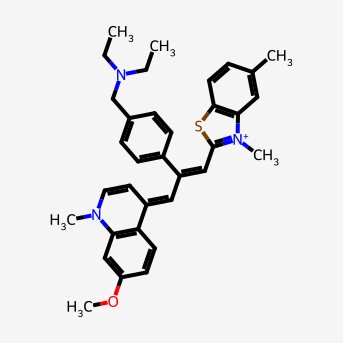 CCN(CC)Cc1ccc(C(=C\c2sc3ccc(C)cc3[n+]2C)/C=C2\C=CN(C)c3cc(OC)ccc32)cc1